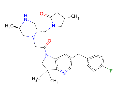 C[C@H]1CC(=O)N(C[C@H]2CN[C@H](C)CN2CC(=O)N2CC(C)(C)c3ncc(Cc4ccc(F)cc4)cc32)C1